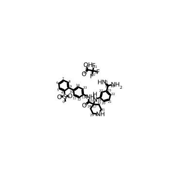 CS(=O)(=O)c1ccccc1-c1ccc(NC(=O)C2(Nc3cccc(C(=N)N)c3)CCNCC2)cc1.O=C(O)C(F)(F)F